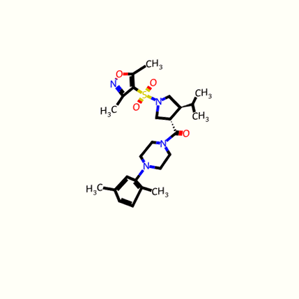 Cc1ccc(C)c(N2CCN(C(=O)[C@@H]3CN(S(=O)(=O)c4c(C)noc4C)C[C@H]3C(C)C)CC2)c1